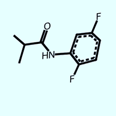 CC(C)C(=O)Nc1cc(F)ccc1F